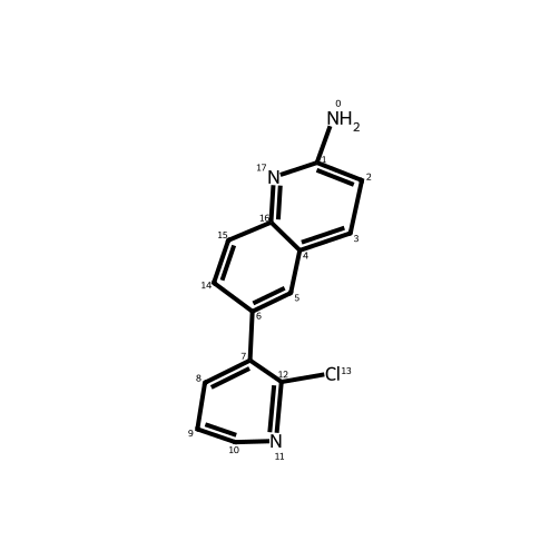 Nc1ccc2cc(-c3cccnc3Cl)ccc2n1